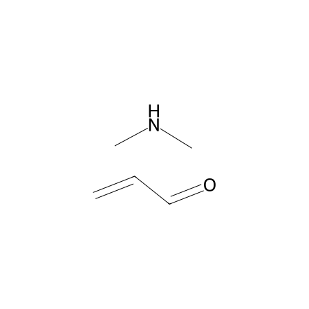 C=CC=O.CNC